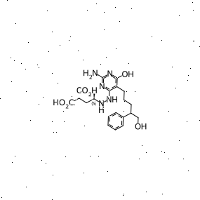 Nc1nc(O)c(CCCC(CO)c2ccccc2)c(NN[C@@H](CCC(=O)O)C(=O)O)n1